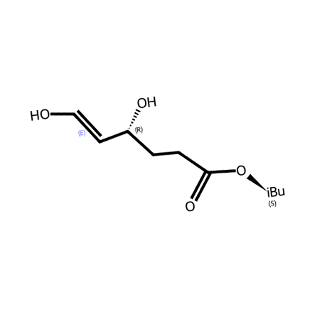 CC[C@H](C)OC(=O)CC[C@@H](O)/C=C/O